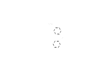 COc1ccc([Se]c2ccc(C(=O)O)cc2)cc1